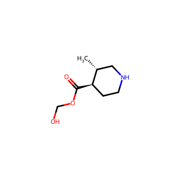 C[C@@H]1CNCC[C@H]1C(=O)OCO